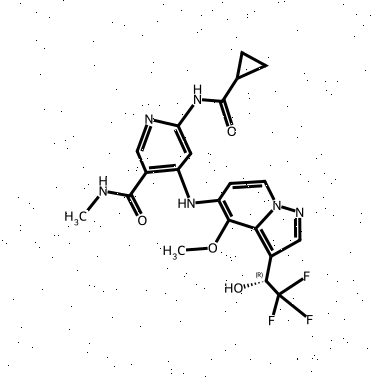 CNC(=O)c1cnc(NC(=O)C2CC2)cc1Nc1ccn2ncc([C@@H](O)C(F)(F)F)c2c1OC